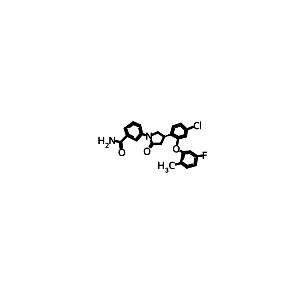 Cc1ccc(F)cc1Oc1cc(Cl)ccc1[C@H]1CC(=O)N(c2cccc(C(N)=O)c2)C1